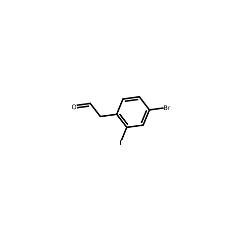 O=CCc1ccc(Br)cc1I